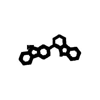 C1=c2c(sc3ccccc23)=C(c2ccc3c(c2)[nH]c2ccccc23)CC1